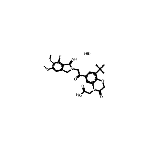 Br.COc1cc2c(c(F)c1OC)C(=N)N(CC(=O)c1cc3c(c(C(C)(C)C)c1)OCC(=O)N3CC(=O)O)C2